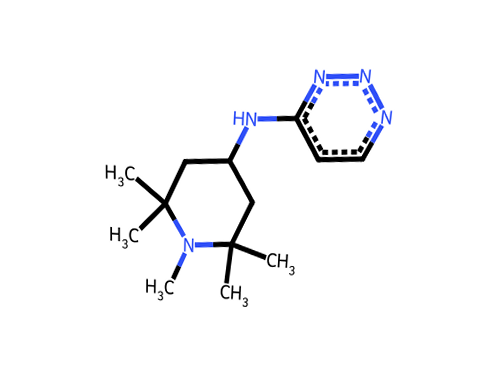 CN1C(C)(C)CC(Nc2ccnnn2)CC1(C)C